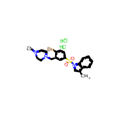 CCN1CCN(Cc2cc(S(=O)(=O)n3cc(C)c4ccccc43)ccc2Br)CC1.Cl.Cl